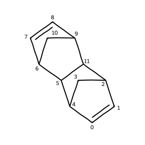 C1=CC2CC1C1C3C=CC(C3)C21